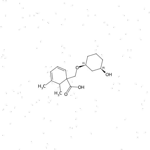 CC1=CC=CC(CO[C@H]2CCC[C@@H](O)C2)(C(=O)O)C1C